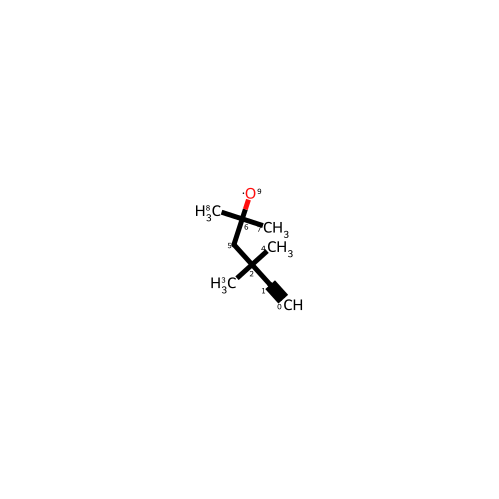 C#CC(C)(C)CC(C)(C)[O]